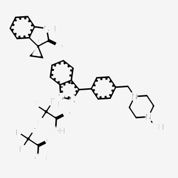 CN1CCN(Cc2ccc(-c3n[nH]c4cc([C@@H]5C[C@@]56C(=O)Nc5ccccc56)ccc34)cc2)CC1.O=C(O)C(F)(F)F.O=C(O)C(F)(F)F